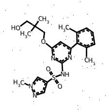 Cc1cccc(C)c1-c1cc(OCC(C)(C)CO)nc(NS(=O)(=O)c2cnn(C)c2)n1